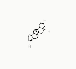 CC1(C)CCC2(CO)C(O)CC3(CO)C(=CCC4C5(C)CCC(O)C(C)(C)C5CCC43C)C2C1